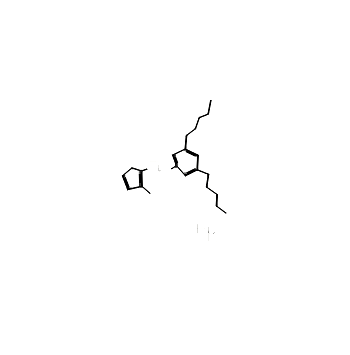 CCCCCc1cc(CCCCC)cc([O][Ti][C]2=C(C)C=CC2)c1.Cl.Cl